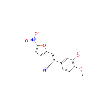 COc1ccc(C(C#N)=Cc2ccc([N+](=O)[O-])o2)cc1OC